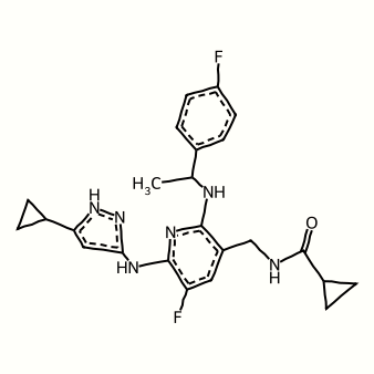 CC(Nc1nc(Nc2cc(C3CC3)[nH]n2)c(F)cc1CNC(=O)C1CC1)c1ccc(F)cc1